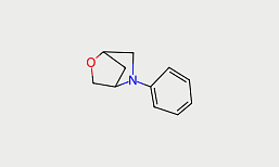 c1ccc(N2CC3CC2CO3)cc1